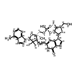 C[C@@]1(O)[C@@H](COP(=O)(S)O[C@@H]2[C@@H](F)[C@@H](CO)S[C@H]2n2cnc3c(=O)[nH]c(N)nc32)O[C@@H](n2nnc3c(N)ncnc32)C1(F)F